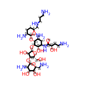 NCCCNC[C@@H]1CC[C@@H](N)[C@@H](O[C@H]2[C@H](O[C@@H]3O[C@H](CO)[C@@H](O[C@H]4O[C@@H](CN)[C@@H](O)[C@H](O)[C@H]4N)[C@H]3O)[C@@H](O)[C@H](NC(=O)[C@@H](O)CCN)C[C@@H]2N)O1